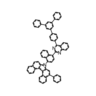 c1ccc(-c2cc(-c3ccccc3)cc(-c3ccc(-c4nc(-c5ccc(-n6c7ccc8ccccc8c7c7c8ccccc8c(-c8ccccc8)cc76)c6ccccc56)nc5ccccc45)cc3)c2)cc1